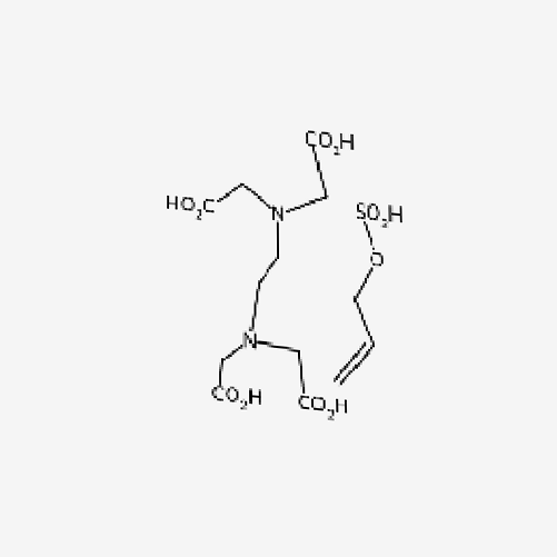 C=CCOS(=O)(=O)O.O=C(O)CN(CCN(CC(=O)O)CC(=O)O)CC(=O)O